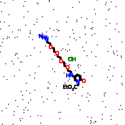 CCOC(=O)Cn1cc(NCCOCCOCCOCCOCCN=[N+]=[N-])ccc1=O.Cl